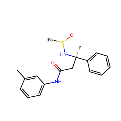 Cc1cccc(NC(=O)C[C@@](C)(N[S+]([O-])C(C)(C)C)c2ccccc2)c1